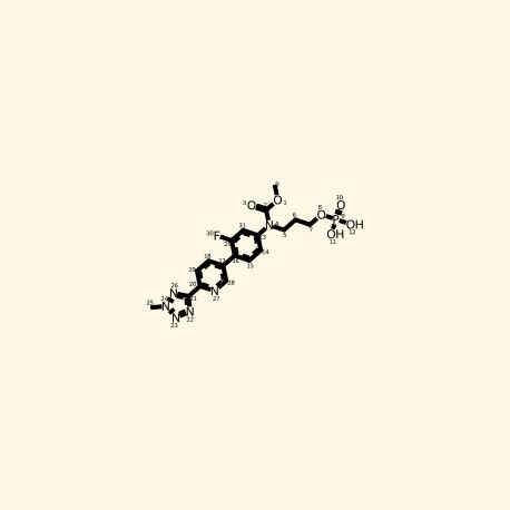 COC(=O)N(CCCOP(=O)(O)O)c1ccc(-c2ccc(-c3nnn(C)n3)nc2)c(F)c1